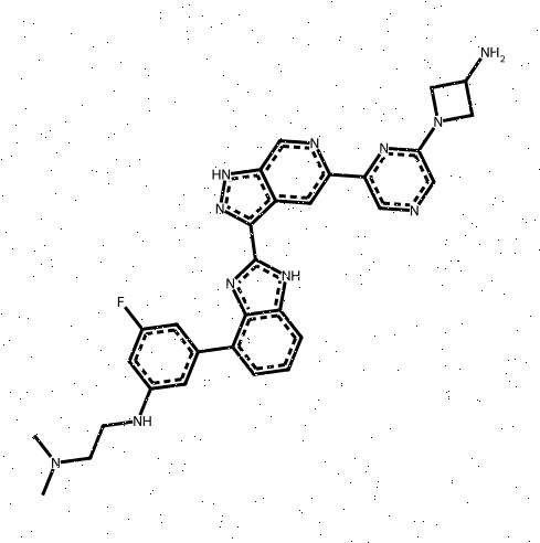 CN(C)CCNc1cc(F)cc(-c2cccc3[nH]c(-c4n[nH]c5cnc(-c6cncc(N7CC(N)C7)n6)cc45)nc23)c1